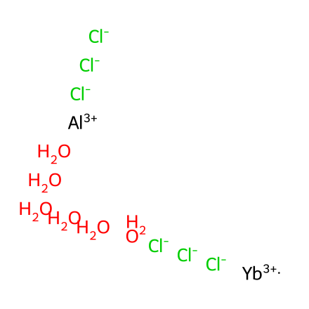 O.O.O.O.O.O.[Al+3].[Cl-].[Cl-].[Cl-].[Cl-].[Cl-].[Cl-].[Yb+3]